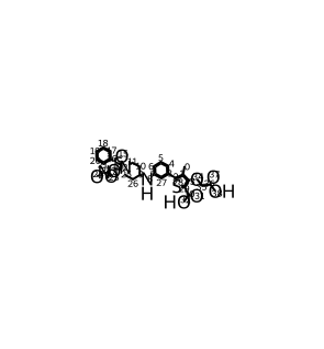 Cc1c(-c2cccc(NC3CCN(S(=O)(=O)c4ccccc4[N+](=O)[O-])CC3)c2)sc(C(=O)O)c1OCC(=O)O